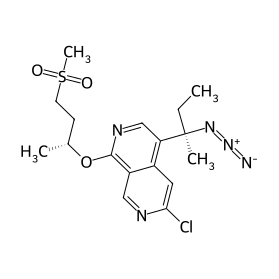 CC[C@@](C)(N=[N+]=[N-])c1cnc(O[C@H](C)CCS(C)(=O)=O)c2cnc(Cl)cc12